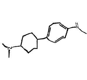 CNc1ccc(C2CCC(N(C)C)CC2)cc1